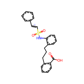 O=C(O)c1ccccc1CCCc1ccccc1NS(=O)(=O)/C=C/c1ccccc1